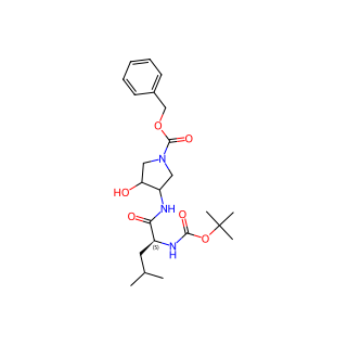 CC(C)C[C@H](NC(=O)OC(C)(C)C)C(=O)NC1CN(C(=O)OCc2ccccc2)CC1O